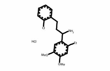 CCc1cc(OC)c(OC)cc1C(N)CCc1ccccc1Cl.Cl